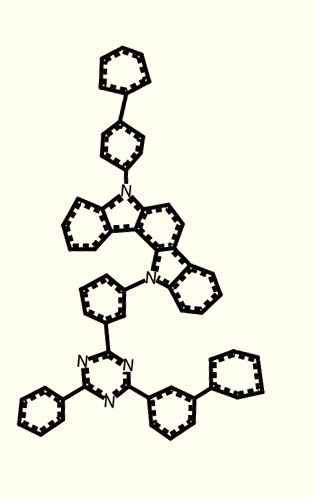 c1ccc(-c2ccc(-n3c4ccccc4c4c3ccc3c5ccccc5n(-c5cccc(-c6nc(-c7ccccc7)nc(-c7cccc(-c8ccccc8)c7)n6)c5)c34)cc2)cc1